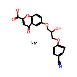 N#Cc1ccc(OCC(O)COc2ccc3oc(C(=O)[O-])cc(=O)c3c2)cc1.[Na+]